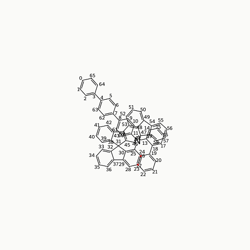 c1ccc(-c2ccc(-c3ccc(N(c4ccccc4-c4ccccc4)c4cccc5c4C4(c6ccccc6-5)c5ccccc5-c5c4cc4c6c(cccc56)-c5ccccc5-4)cc3)cc2)cc1